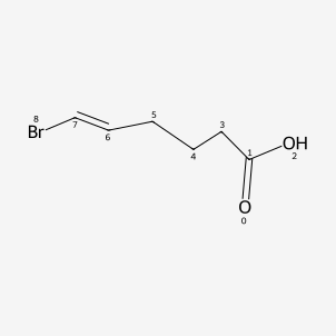 O=C(O)CCCC=CBr